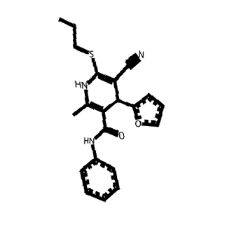 CCCSC1=C(C#N)C(c2ccco2)C(C(=O)Nc2ccccc2)=C(C)N1